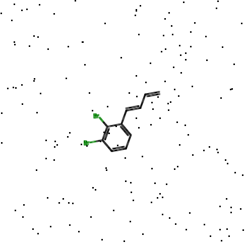 C=CC=Cc1cccc(Br)c1Br